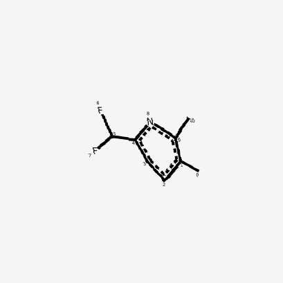 Cc1ccc(C(F)F)nc1C